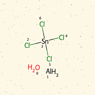 O.[AlH3].[Cl][Sn]([Cl])([Cl])[Cl]